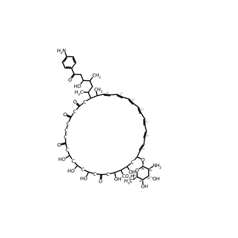 CC1/C=C/C=C/C=C/C=C/C=C/C=C/C=C/C(O[C@@H]2O[C@H](C)[C@H](O)[C@@H](O)[C@@H]2N)CC(O)C(C(=O)O)C(O)CC(=O)CC(O)CC(O)CC(O)CC(=O)CCCC(=O)CC(=O)CC1C(C)CC(C)C(O)CC(=O)c1ccc(N)cc1